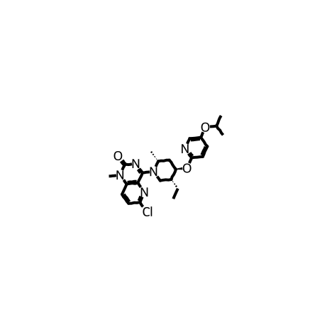 CC[C@@H]1CN(c2nc(=O)n(C)c3ccc(Cl)nc23)[C@H](C)C[C@H]1Oc1ccc(OC(C)C)cn1